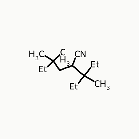 CCC(C)(C)CC(C#N)C(C)(CC)CC